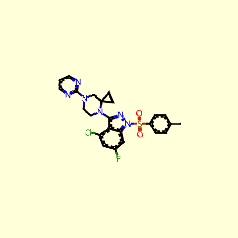 Cc1ccc(S(=O)(=O)n2nc(N3CCN(c4ncccn4)CC34CC4)c3c(Cl)cc(F)cc32)cc1